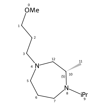 COCCCN1CCCN(C(C)C)[C@@H](C)C1